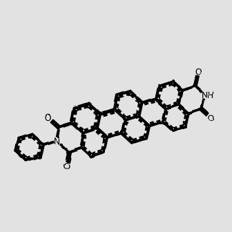 O=C1NC(=O)c2ccc3c4ccc5c6ccc7c8c(ccc(c9ccc(c%10ccc1c2c%103)c4c95)c86)C(=O)N(c1ccccc1)C7=O